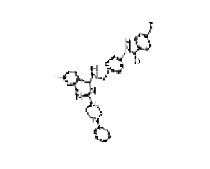 Cc1ccc2c(NCc3ccc(NC(=O)c4ccc(F)cc4)cc3)nc(N3CCN(c4ccccc4)CC3)nc2c1